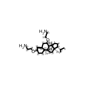 CC(C)[C@H]1CC[C@H]2C3[C@H](OCCN)CC4=C[C@H](OCCN)CC[C@]4(C)[C@H]3CC[C@]12C